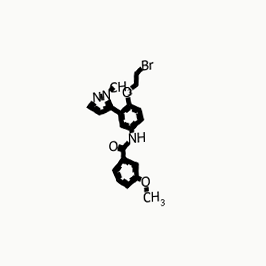 COc1cccc(C(=O)Nc2ccc(OCCBr)c(-c3ccnn3C)c2)c1